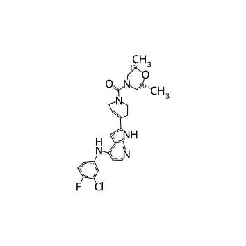 C[C@@H]1CN(C(=O)N2CC=C(c3cc4c(Nc5ccc(F)c(Cl)c5)ccnc4[nH]3)CC2)C[C@H](C)O1